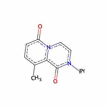 Cc1ccc(=O)n2ccn(C(C)C)c(=O)c12